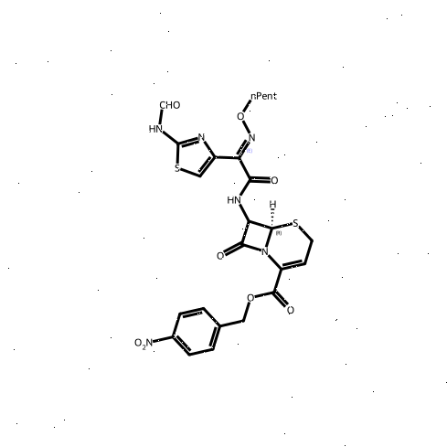 CCCCCO/N=C(/C(=O)NC1C(=O)N2C(C(=O)OCc3ccc([N+](=O)[O-])cc3)=CCS[C@H]12)c1csc(NC=O)n1